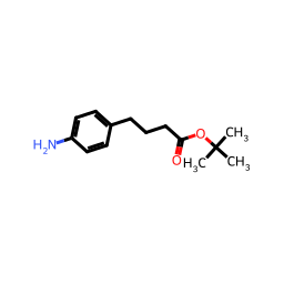 CC(C)(C)OC(=O)CCCc1ccc(N)cc1